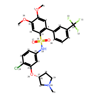 COc1cc(-c2cccc(C(F)(F)F)c2)c(S(=O)(=O)Nc2ccc(Cl)c(O[C@@H]3CCN(C)C3)c2)cc1OC